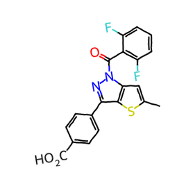 Cc1cc2c(s1)c(-c1ccc(C(=O)O)cc1)nn2C(=O)c1c(F)cccc1F